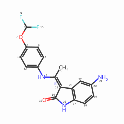 C/C(Nc1ccc(OC(F)F)cc1)=C1/C(=O)Nc2ccc(N)cc21